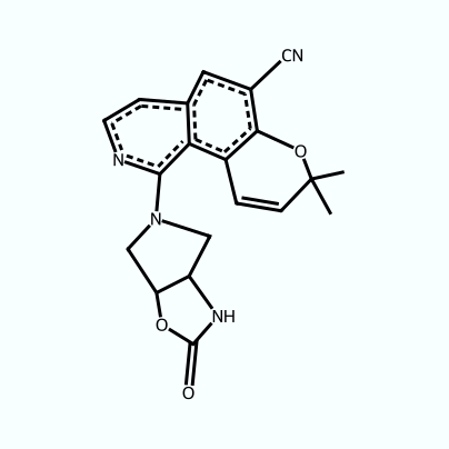 CC1(C)C=Cc2c(c(C#N)cc3ccnc(N4CC5NC(=O)OC5C4)c23)O1